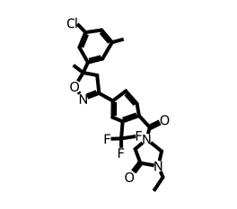 CCN1CN(C(=O)c2ccc(C3=NOC(C)(c4cc(C)cc(Cl)c4)C3)cc2C(F)(F)F)CC1=O